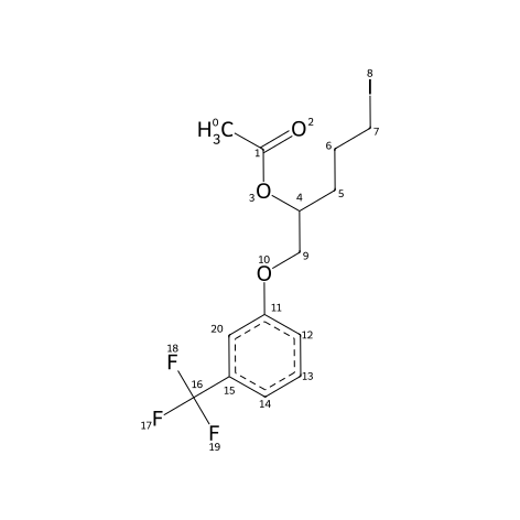 CC(=O)OC(CCCI)COc1cccc(C(F)(F)F)c1